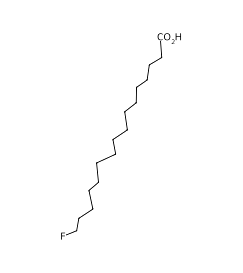 O=C(O)CCCCCCCCCCCCCCCF